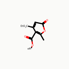 CCCOC(=O)c1c(C(=O)OCC)cc(=O)oc1C